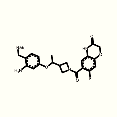 CNCc1ccc(OC(C)C2CN(C(=O)c3cc4c(cc3F)OCC(=O)N4)C2)cc1N